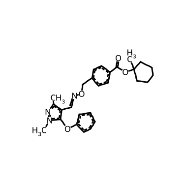 Cc1nn(C)c(Oc2ccccc2)c1C=NOCc1ccc(C(=O)OC2(C)CCCCC2)cc1